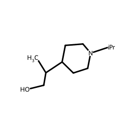 CC(CO)C1CCN(C(C)C)CC1